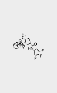 Cc1ccc(C(=O)Nc2cc(F)c(F)c(F)c2)cc1S(=O)(=O)C1CC2CC(C1)C2(C)O